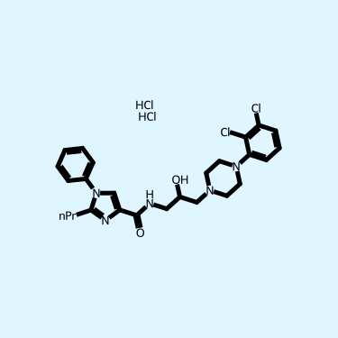 CCCc1nc(C(=O)NCC(O)CN2CCN(c3cccc(Cl)c3Cl)CC2)cn1-c1ccccc1.Cl.Cl